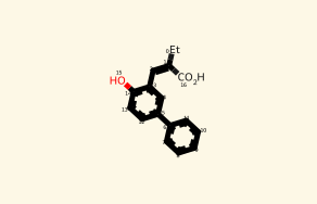 CCC(=Cc1cc(-c2ccccc2)ccc1O)C(=O)O